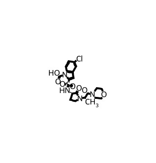 C[C@@H](C(=O)N1CCOCC1)N1CC[C@H](NS(=O)(=O)c2cc3cc(Cl)ccc3n2C(=O)O)C1=O